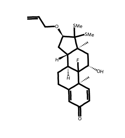 C=CCO[C@@H]1C[C@H]2[C@@H]3CCC4=CC(=O)C=C[C@]4(C)C3(F)[C@@H](O)C[C@]2(C)C1(SC)SC